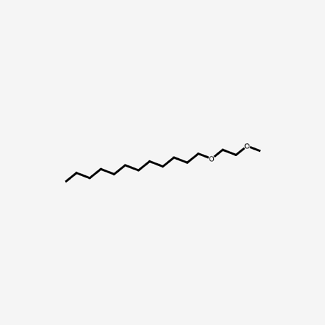 CCCCCCCCCCCCOCCOC